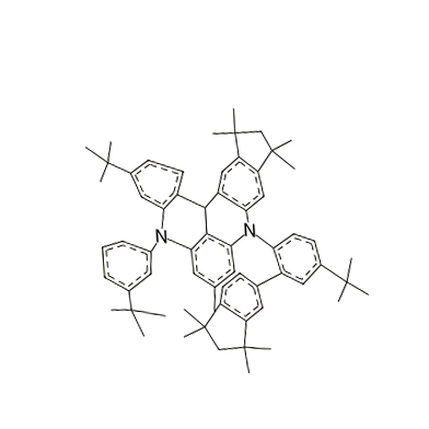 Cc1cc2c3c(c1)N(c1ccc(C(C)(C)C)cc1-c1ccc4c(c1)C(C)(C)CC4(C)C)c1cc4c(cc1C3c1ccc(C(C)(C)C)cc1N2c1cccc(C(C)(C)C)c1)C(C)(C)CC4(C)C